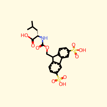 CC(C)C[C@H](NC(=O)OCC1c2ccc(S(=O)(=O)O)cc2-c2cc(S(=O)(=O)O)ccc21)C(=O)O